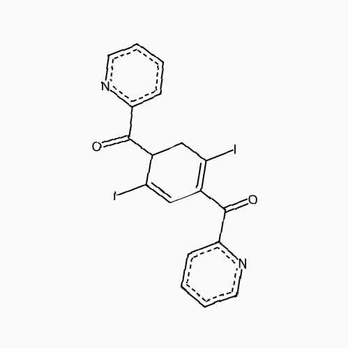 O=C(C1=C(I)CC(C(=O)c2ccccn2)C(I)=C1)c1ccccn1